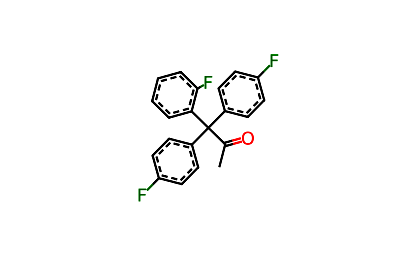 CC(=O)C(c1ccc(F)cc1)(c1ccc(F)cc1)c1ccccc1F